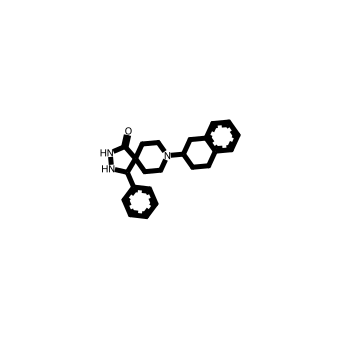 O=C1NNC(c2ccccc2)C12CCN(C1CCc3ccccc3C1)CC2